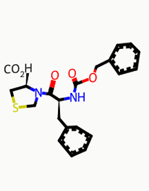 O=C(N[C@@H](Cc1ccccc1)C(=O)N1CSC[C@H]1C(=O)O)OCc1ccccc1